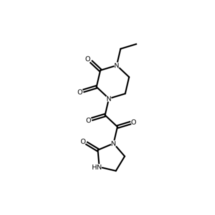 CCN1CCN(C(=O)C(=O)N2CCNC2=O)C(=O)C1=O